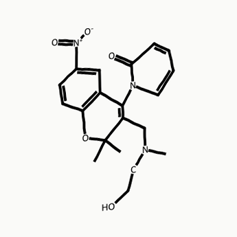 CN(CCO)CC1=C(n2ccccc2=O)c2cc([N+](=O)[O-])ccc2OC1(C)C